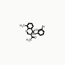 CCOC(=O)C1(Nc2cccc(C(C)=O)c2)c2cccc(C)c2N=CC1C(N)=O